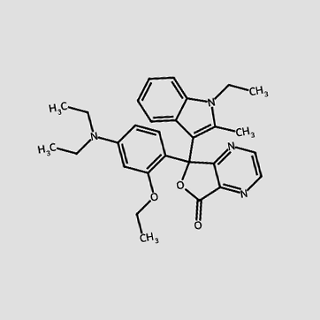 CCOc1cc(N(CC)CC)ccc1C1(c2c(C)n(CC)c3ccccc23)OC(=O)c2nccnc21